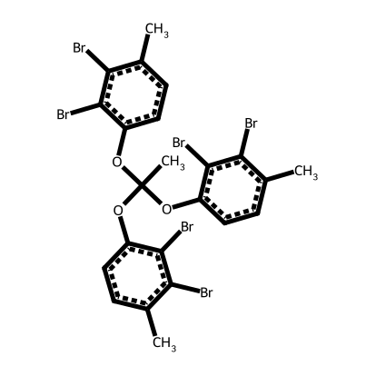 Cc1ccc(OC(C)(Oc2ccc(C)c(Br)c2Br)Oc2ccc(C)c(Br)c2Br)c(Br)c1Br